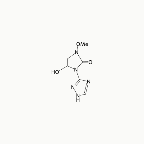 CON1CC(O)N(c2nc[nH]n2)C1=O